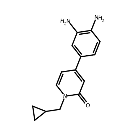 Nc1ccc(-c2ccn(CC3CC3)c(=O)c2)cc1N